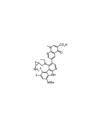 CNc1cc(F)c(F)c2c1[nH]c1ncc(-c3cnc4c(c3)c(=O)c(C(=O)O)cn4C)c(N3CC[C@]4(C[C@@H]4N)C3)c12